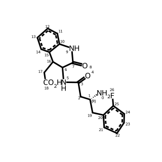 N[C@@H](CC(=O)NC1C(=O)Nc2ccccc2C1CC(=O)O)Cc1ccccc1F